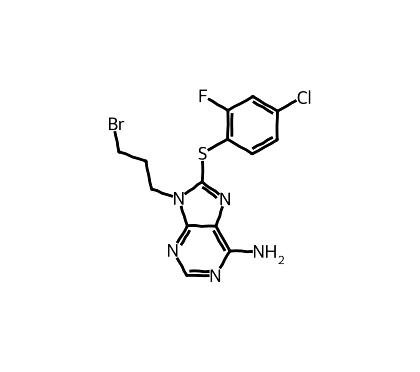 Nc1ncnc2c1nc(Sc1ccc(Cl)cc1F)n2CCCBr